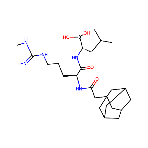 CNC(=N)NCCC[C@H](NC(=O)CC12CC3CC(CC(C3)C1)C2)C(=O)N[C@@H](CC(C)C)B(O)O